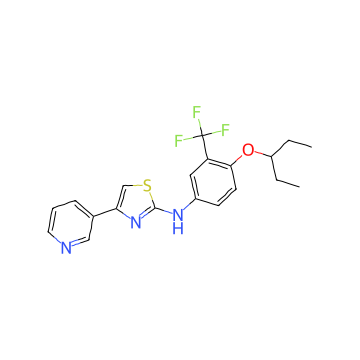 CCC(CC)Oc1ccc(Nc2nc(-c3cccnc3)cs2)cc1C(F)(F)F